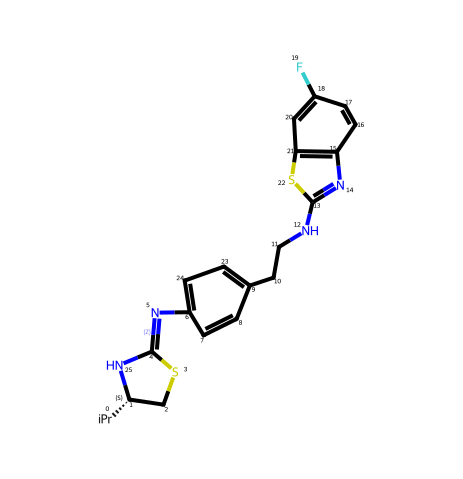 CC(C)[C@H]1CS/C(=N\c2ccc(CCNc3nc4ccc(F)cc4s3)cc2)N1